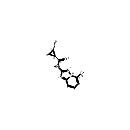 O=C(Nc1nc2cccc(Br)n2n1)[C@H]1C[C@H]1F